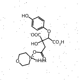 CCCCCC[N+]1(OC(=O)CC(O)(C(=O)[O-])C(Oc2ccc(O)cc2)C(=O)O)CCOCC1